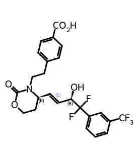 O=C(O)c1ccc(CCN2C(=O)OCC[C@@H]2/C=C/[C@@H](O)C(F)(F)c2cccc(C(F)(F)F)c2)cc1